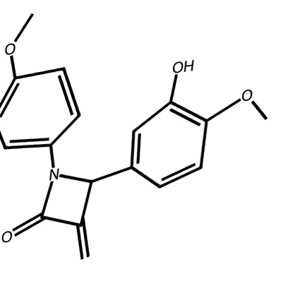 C=C1C(=O)N(c2ccc(OC)cc2)C1c1ccc(OC)c(O)c1